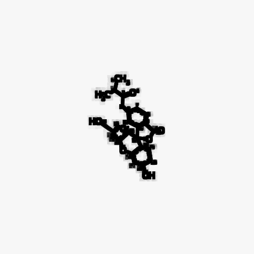 CC(C)C(=O)Cc1ccc2c(c1)C1(OC2=O)c2ccc(O)cc2Oc2cc(O)ccc21